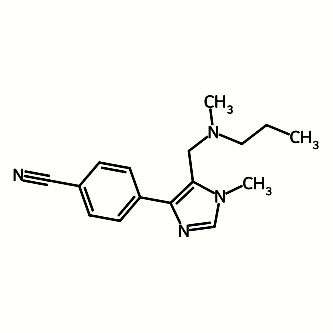 CCCN(C)Cc1c(-c2ccc(C#N)cc2)ncn1C